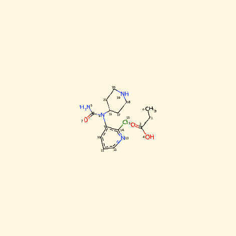 CCC(=O)O.NC(=O)N(c1cccnc1Cl)C1CCNCC1